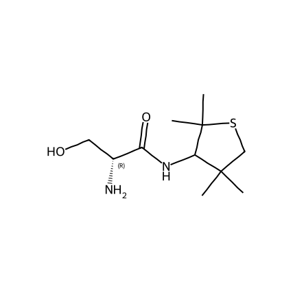 CC1(C)CSC(C)(C)C1NC(=O)[C@H](N)CO